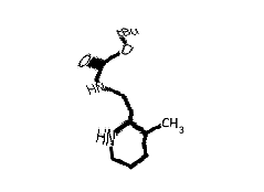 CC1CCCNC1CNC(=O)OC(C)(C)C